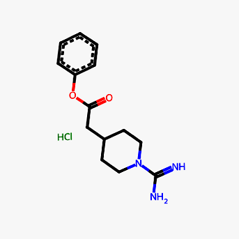 Cl.N=C(N)N1CCC(CC(=O)Oc2ccccc2)CC1